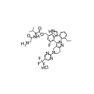 CCc1cccc(CC)c1-n1nc2c(c1-c1c(F)cc(COC(=O)[C@@H](NC(=O)CN)C(C)C)c3[nH]ccc13)CN(c1ncc(C(F)(F)F)cn1)CC2.Cl